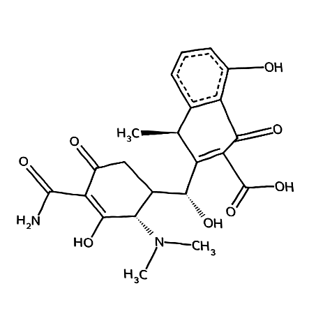 C[C@@H]1C([C@H](O)C2CC(=O)C(C(N)=O)=C(O)[C@H]2N(C)C)=C(C(=O)O)C(=O)c2c(O)cccc21